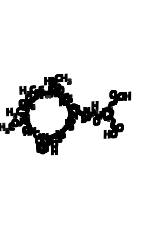 CNC(=O)C[C@@H]1NC(=O)c2csc(n2)-c2ccc(-c3nc(NC(=O)N4C[C@H](CCC(=O)O)C[C@H](CCC(=O)O)C4)cs3)nc2-c2csc(n2)-c2csc(n2)[C@H]([C@@H](O)c2ccccc2)NC(=O)CNC(=O)c2nc(sc2COC)C(C(C)C)NC(=O)c2nc1sc2C